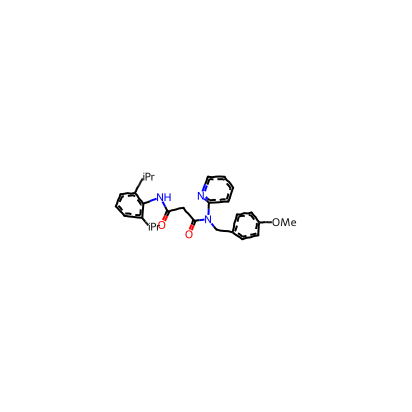 COc1ccc(CN(C(=O)CC(=O)Nc2c(C(C)C)cccc2C(C)C)c2ccccn2)cc1